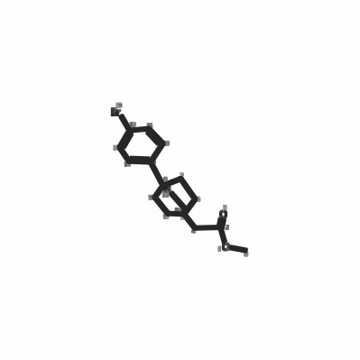 COC(=O)CC12CCC(c3ccc(Br)cc3)(CC1)OC2